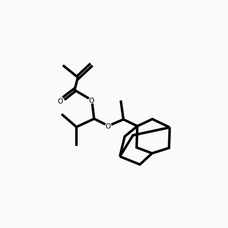 C=C(C)C(=O)OC(OC(C)C12CC3CC(CC(C3)C1)C2)C(C)C